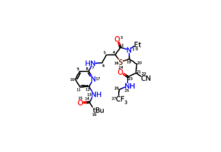 CCN1C(=O)C(CCNc2cccc(NC(=O)C(C)(C)C)n2)SC1CC(C#N)C(=O)NCC(F)(F)F